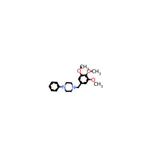 COc1cc(CN2CCN(c3ccccc3)CC2)cc(OC)c1OC